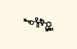 N#CN1CCC(C(=O)Nc2ncc(-c3cccc4[nH]ncc34)s2)C1